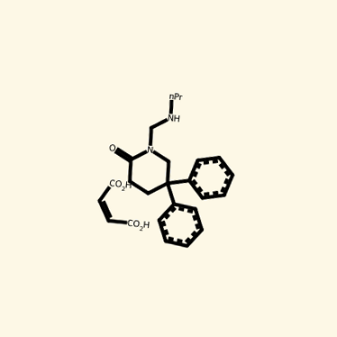 CCCNCN1CC(c2ccccc2)(c2ccccc2)CCC1=O.O=C(O)/C=C\C(=O)O